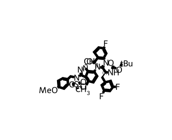 COc1ccc(CN(c2nn(C)c3c(-n4c([C@H](Cc5cc(F)cc(F)c5)NC(=O)OC(C)(C)C)nc5cc(F)ccc5c4=O)ccc(Cl)c23)S(C)(=O)=O)cc1